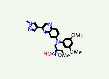 COC/C(CN(c1cc(OC)cc(OC)c1)c1ccc2ncc(-c3cnn(C)c3)nc2c1)=N/O